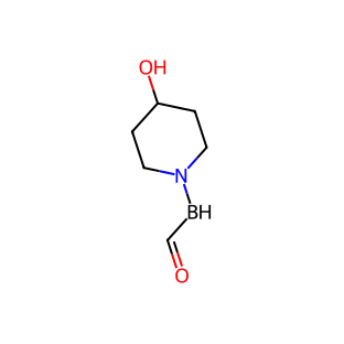 O=CBN1CCC(O)CC1